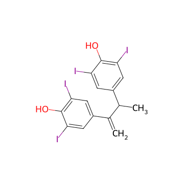 C=C(c1cc(I)c(O)c(I)c1)C(C)c1cc(I)c(O)c(I)c1